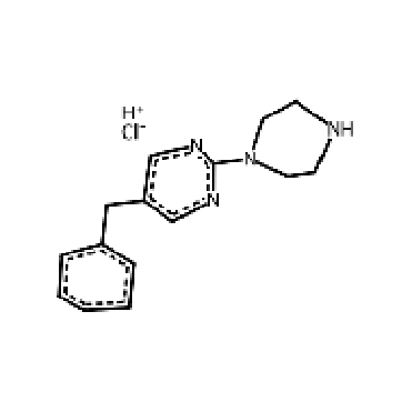 [Cl-].[H+].c1ccc(Cc2cnc(N3CCNCC3)nc2)cc1